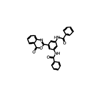 O=C(Nc1cc(NC(=O)c2ccccc2)cc(-c2nc3ccccc3c(=O)o2)c1)c1ccccc1